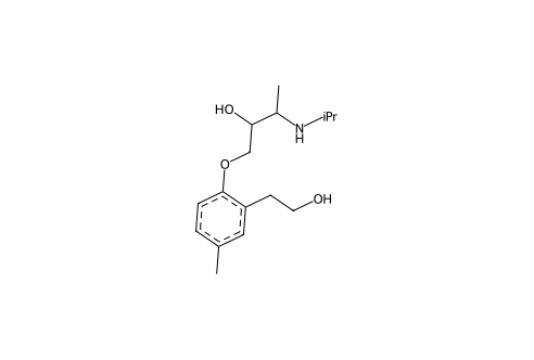 Cc1ccc(OCC(O)C(C)NC(C)C)c(CCO)c1